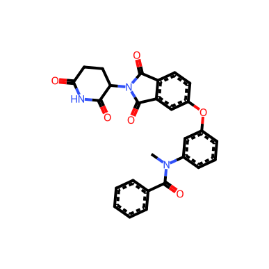 CN(C(=O)c1ccccc1)c1cccc(Oc2ccc3c(c2)C(=O)N(C2CCC(=O)NC2=O)C3=O)c1